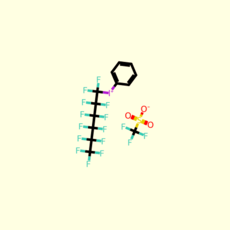 FC(F)(F)C(F)(F)C(F)(F)C(F)(F)C(F)(F)C(F)(F)[I+]c1ccccc1.O=S(=O)([O-])C(F)(F)F